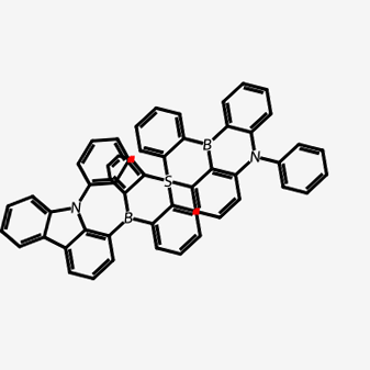 c1ccc(N2c3ccccc3B3c4ccccc4S4(c5ccccc5B(c5cccc6c7ccccc7n(-c7ccccc7)c56)c5ccccc54)c4cccc2c43)cc1